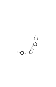 COc1ccc(CNc2cccn3nc(Nc4cccc(N5CCN(C)CC5)c4)nc23)cc1